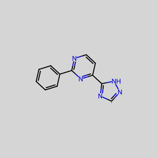 [c]1n[nH]c(-c2ccnc(-c3ccccc3)n2)n1